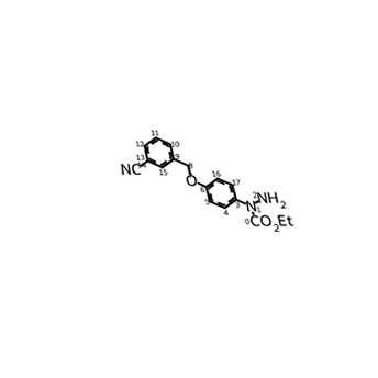 CCOC(=O)N(N)c1ccc(OCc2cccc(C#N)c2)cc1